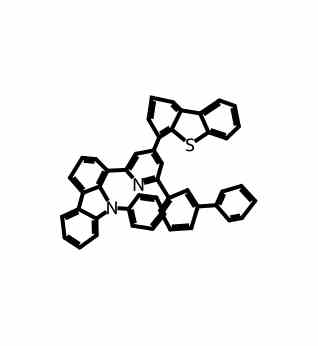 c1ccc(-c2cccc(-c3cc(-c4cccc5c4sc4ccccc45)cc(-c4cccc5c6ccccc6n(-c6ccccc6)c45)n3)c2)cc1